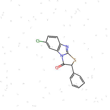 O=C1C(c2ccccc2)Sc2nc3ccc(Cl)cc3n21